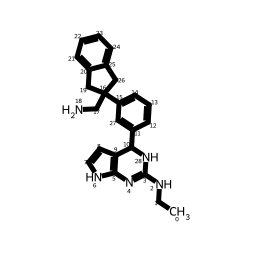 CCNC1=Nc2[nH]ccc2C(c2cccc(C3(CN)Cc4ccccc4C3)c2)N1